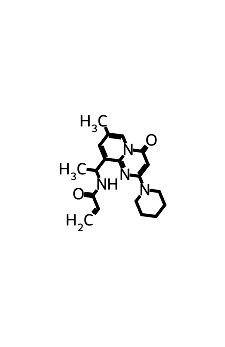 C=CC(=O)NC(C)c1cc(C)cn2c(=O)cc(N3CCCCC3)nc12